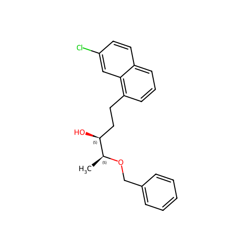 C[C@H](OCc1ccccc1)[C@@H](O)CCc1cccc2ccc(Cl)cc12